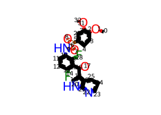 COc1ccc(S(=O)(=O)Nc2ccc(F)c(C(=O)c3c[nH]c4ncccc34)c2F)cc1OC